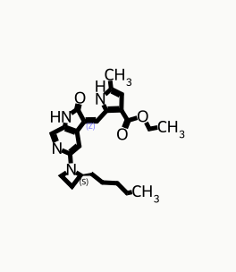 CCCCC[C@H]1CCN1c1cc2c(cn1)NC(=O)/C2=C\c1[nH]c(C)cc1C(=O)OCC